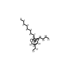 CCCCCCCCC12OCC(CC)(CO1)CN2CCCC